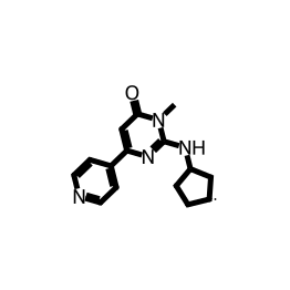 Cn1c(NC2C[CH]CC2)nc(-c2ccncc2)cc1=O